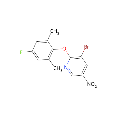 Cc1cc(F)cc(C)c1Oc1ncc([N+](=O)[O-])cc1Br